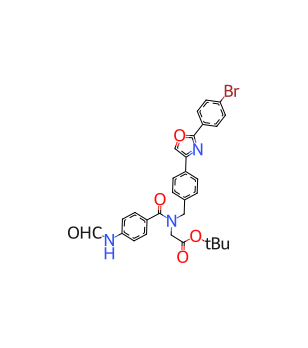 CC(C)(C)OC(=O)CN(Cc1ccc(-c2coc(-c3ccc(Br)cc3)n2)cc1)C(=O)c1ccc(NC=O)cc1